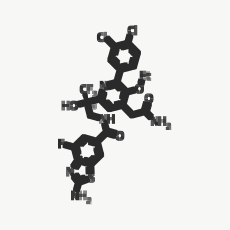 CCOc1c(CC(N)=O)cc([C@@](O)(CNC(=O)c2cc(F)c3nc(N)sc3c2)C(F)(F)F)nc1-c1ccc(Cl)c(Cl)c1